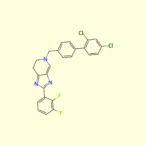 Fc1cccc(C2=NC3=CN(Cc4ccc(-c5ccc(Cl)cc5Cl)cc4)CCC3=N2)c1F